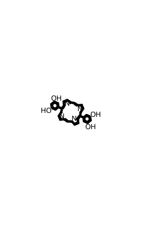 Oc1cc(O)cc(C2=C3C=CC(=N3)C=C3C=CC(=N3)C(c3cc(O)cc(O)c3)=C3C=CC(=N3)C=C3C=CC2=N3)c1